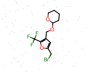 FC(F)(F)c1oc(CBr)cc1COC1CCCCO1